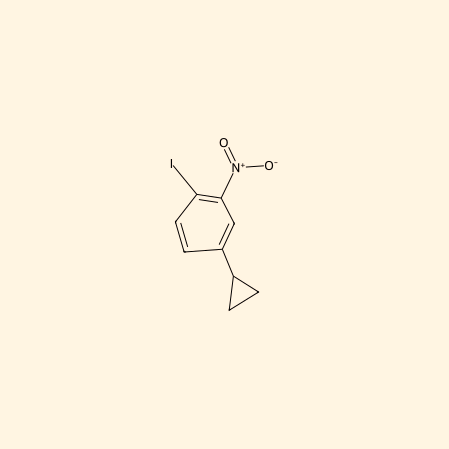 O=[N+]([O-])c1cc(C2CC2)ccc1I